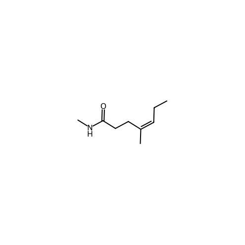 CC/C=C(/C)CCC(=O)NC